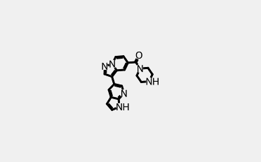 O=C(c1ccn2ncc(-c3cnc4[nH]ccc4c3)c2c1)N1CCNCC1